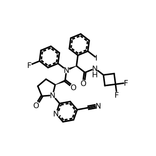 N#Cc1ccnc(N2C(=O)CC[C@H]2C(=O)N(c2cccc(F)c2)[C@H](C(=O)NC2CC(F)(F)C2)c2ccccc2I)c1